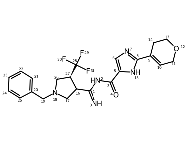 N=C(NC(=O)c1cnc(C2=CCOCC2)[nH]1)C1CN(Cc2ccccc2)C[C@H]1C(F)(F)F